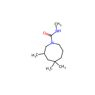 CNC(=O)N1CCCC(C)(C)CC(C)C1